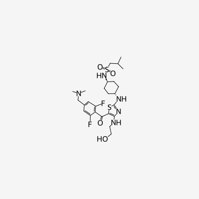 CC(C)CS(=O)(=O)N[C@H]1CC[C@H](Nc2nc(NCCO)c(C(=O)c3c(F)cc(CN(C)C)cc3F)s2)CC1